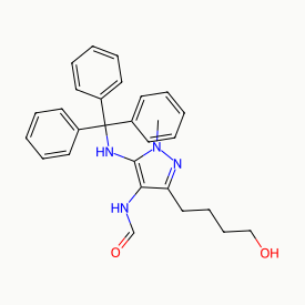 Cn1nc(CCCCO)c(NC=O)c1NC(c1ccccc1)(c1ccccc1)c1ccccc1